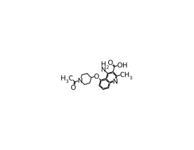 CC(=O)N1CCC(Oc2cccc3nc(C)c(C(=O)O)c(N)c23)CC1